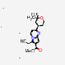 COC(=O)c1cc2nc(C3CCOC(C)(C)C3)ccn2c1CC#N